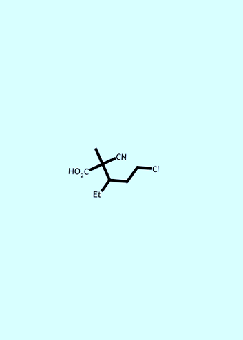 CCC(CCCl)C(C)(C#N)C(=O)O